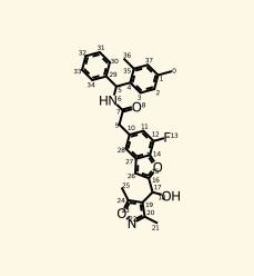 Cc1ccc(C(NC(=O)Cc2cc(F)c3oc(C(O)c4c(C)noc4C)cc3c2)c2ccccc2)c(C)c1